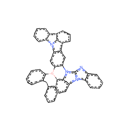 c1ccc(-c2ccccc2B2c3cc4c(cc3-n3c5c2cccc5n2c5ccccc5nc32)c2cccc3c5ccccc5n4c32)cc1